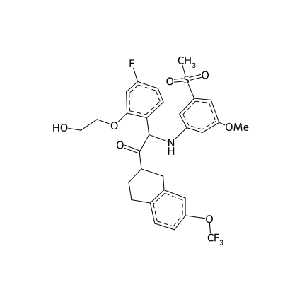 COc1cc(NC(C(=O)C2CCc3ccc(OC(F)(F)F)cc3C2)c2ccc(F)cc2OCCO)cc(S(C)(=O)=O)c1